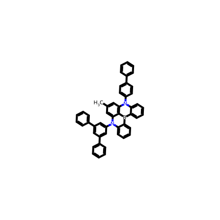 Cc1cc2c3c(c1)N(c1cc(-c4ccccc4)cc(-c4ccccc4)c1)c1ccccc1B3c1ccccc1N2c1ccc(-c2ccccc2)cc1